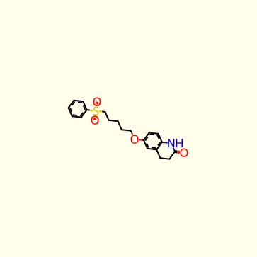 O=C1CCc2cc(OCCCCCS(=O)(=O)c3ccccc3)ccc2N1